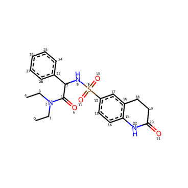 CCN(CC)C(=O)C(NS(=O)(=O)c1ccc2c(c1)CCC(=O)N2)c1ccccc1